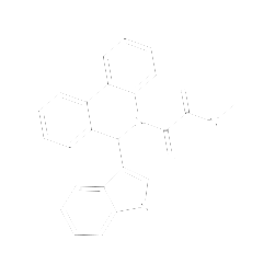 CNC(=O)C(=O)N1c2ccccc2-c2ccccc2C1c1c[nH]c2ccccc12